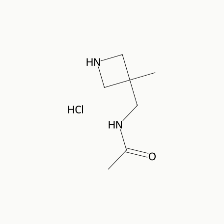 CC(=O)NCC1(C)CNC1.Cl